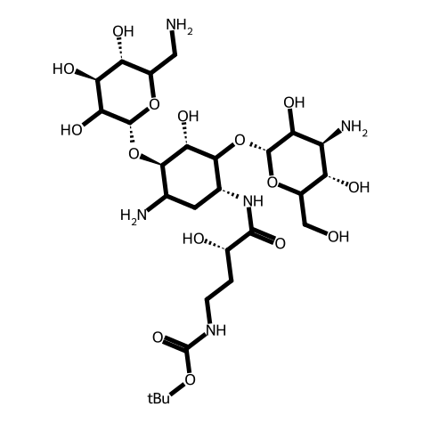 CC(C)(C)OC(=O)NCC[C@H](O)C(=O)N[C@@H]1CC(N)[C@@H](O[C@H]2OC(CN)[C@@H](O)[C@H](O)C2O)[C@H](O)C1O[C@H]1OC(CO)[C@@H](O)[C@H](N)C1O